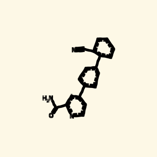 N#Cc1ccccc1-c1ccc(-c2[c]c(C(N)=O)ncc2)cc1